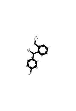 Fc1ccc(C(Br)c2ccccc2CBr)cc1